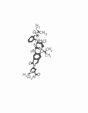 CC(C)Oc1cc2c(cc1Nc1ncc(Cl)c(Nc3ccccc3S(=O)(=O)C(C)C)n1)C(=O)N([C@H]1C[C@@H](C(N)=O)N(C)C1)C2